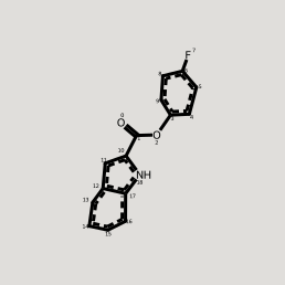 O=C(Oc1ccc(F)cc1)c1cc2ccccc2[nH]1